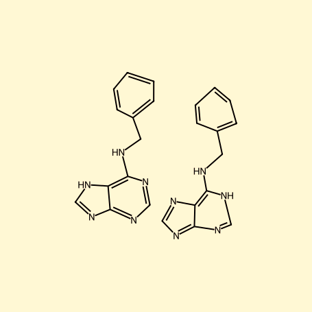 c1ccc(CNc2[nH]cnc3ncnc2-3)cc1.c1ccc(CNc2ncnc3nc[nH]c23)cc1